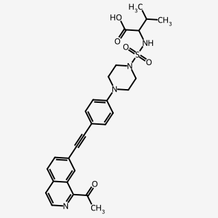 CC(=O)c1nccc2ccc(C#Cc3ccc(N4CCN(S(=O)(=O)NC(C(=O)O)C(C)C)CC4)cc3)cc12